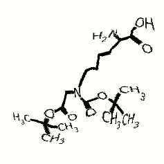 CC(C)(C)OC(=O)CN(CCCCC(N)C(=O)O)C(=O)OC(C)(C)C